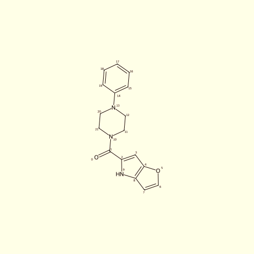 O=C(c1cc2occc2[nH]1)N1CCN(c2ccccc2)CC1